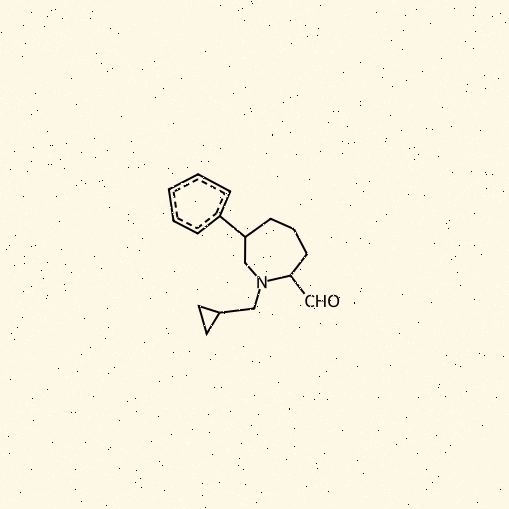 O=CC1CCCC(c2ccccc2)CN1CC1CC1